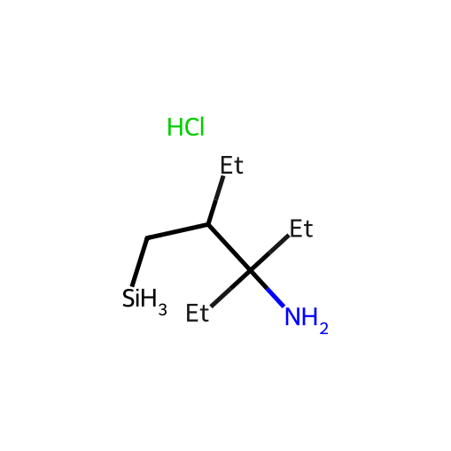 CCC(C[SiH3])C(N)(CC)CC.Cl